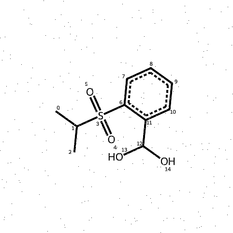 CC(C)S(=O)(=O)c1ccccc1C(O)O